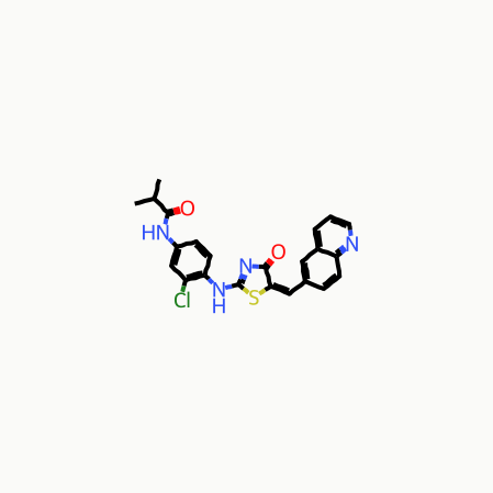 CC(C)C(=O)Nc1ccc(NC2=NC(=O)C(=Cc3ccc4ncccc4c3)S2)c(Cl)c1